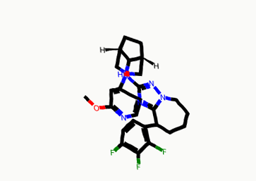 COc1cc(N2C[C@H]3CC[C@@H](C2)C3Nc2nc3n(n2)CCCCC3c2ccc(F)c(F)c2F)ccn1